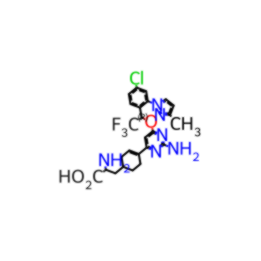 Cc1ccn(-c2cc(Cl)ccc2[C@@H](Oc2cc(C3=CCC(CC(N)C(=O)O)CC3)nc(N)n2)C(F)(F)F)n1